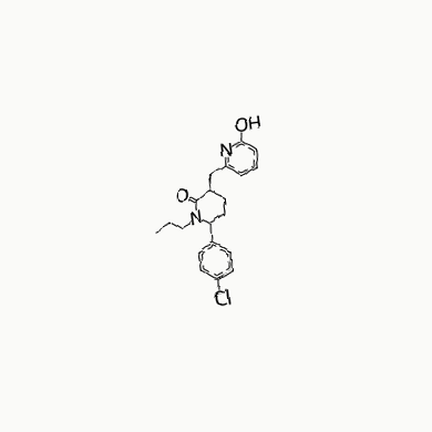 CCCN1C(=O)[C@@H](Cc2cccc(O)n2)CCC1c1ccc(Cl)cc1